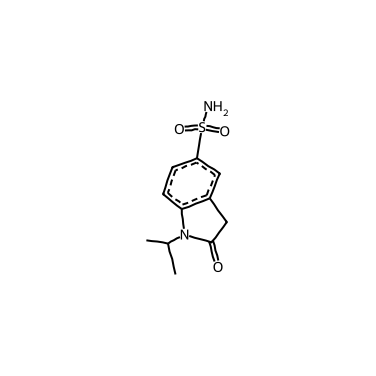 CC(C)N1C(=O)Cc2cc(S(N)(=O)=O)ccc21